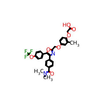 Cc1cc(OCc2nc(-c3ccc(C(=O)N(C)C)cc3)c(-c3ccc(OC(F)(F)F)cc3)o2)ccc1OCC(=O)O